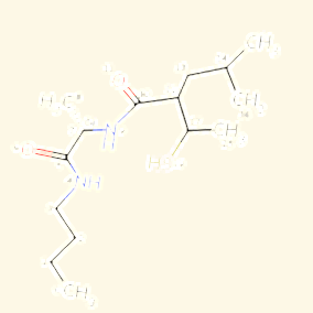 CCCCNC(=O)[C@H](C)NC(=O)C(CC(C)C)C(C)S